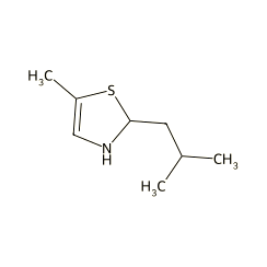 CC1=CNC(CC(C)C)S1